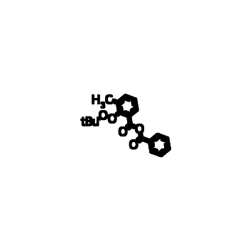 Cc1cccc(C(=O)OC(=O)c2ccccc2)c1OOC(C)(C)C